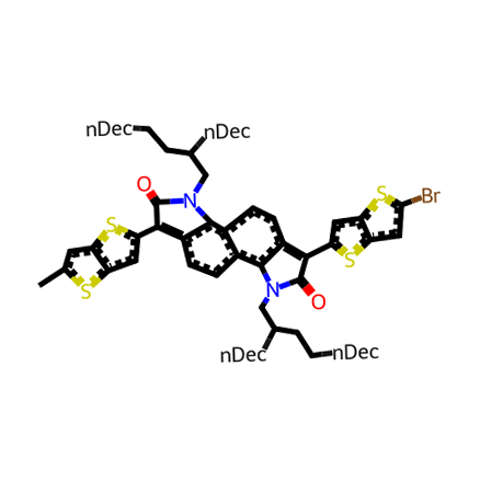 CCCCCCCCCCCCC(CCCCCCCCCC)CN1C(=O)C(c2cc3sc(C)cc3s2)=c2ccc3c4c(ccc3c21)=C(c1cc2sc(Br)cc2s1)C(=O)N4CC(CCCCCCCCCC)CCCCCCCCCCCC